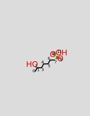 CC(O)CCCCCS(=O)(=O)O